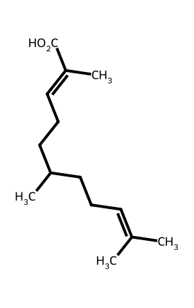 CC(C)=CCCC(C)CC/C=C(\C)C(=O)O